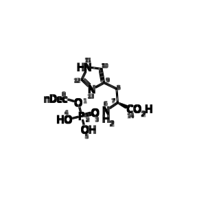 CCCCCCCCCCOP(=O)(O)O.N[C@@H](Cc1c[nH]cn1)C(=O)O